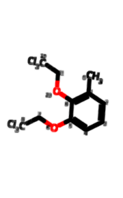 Cc1cccc(OCC(Cl)(Cl)Cl)c1OCC(Cl)(Cl)Cl